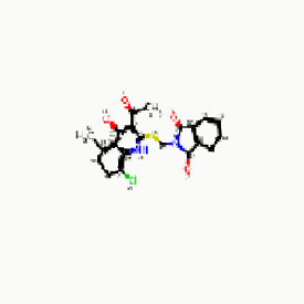 CC(=O)c1c(SCN2C(=O)C3=C(CCC=C3)C2=O)[nH]c2c(c1=O)=C(C)CCC=2Cl